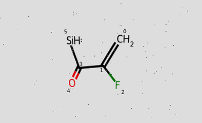 C=C(F)C(=O)[SiH]